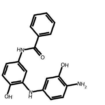 Nc1ccc(Nc2cc(NC(=O)c3ccccc3)ccc2O)cc1O